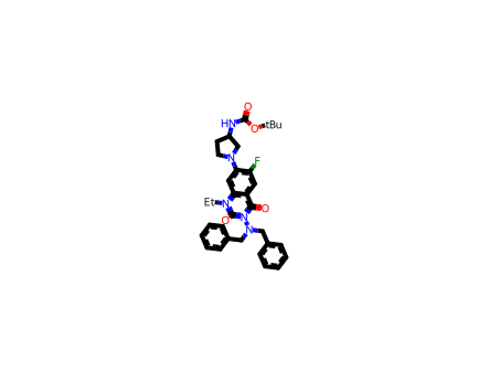 CCn1c(=O)n(N(Cc2ccccc2)Cc2ccccc2)c(=O)c2cc(F)c(N3CCC(NC(=O)OC(C)(C)C)C3)cc21